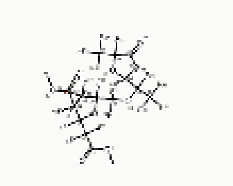 COC(=O)C(F)(F)C(F)(OC(F)(C(F)(F)F)C(F)(F)OC(F)(C(F)(F)F)C(F)(F)OC(F)(C(=O)F)C(F)(F)F)C(F)(F)C(=O)OC